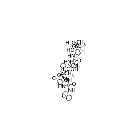 CN(C)S(=O)(=O)c1c(Cl)ccc(Nc2c(N[C@@H](c3cccc(CN(C)S(=O)(=O)c4c(Cl)ccc(Nc5c(N[C@@H]6CCOc7ccccc76)c(=O)c5=O)c4O)c3)C(C)(C)O)c(=O)c2=O)c1O